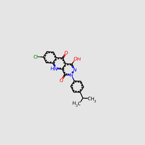 CC(C)c1ccc(-n2nc(O)c3c(=O)c4ccc(Cl)cc4[nH]c3c2=O)cc1